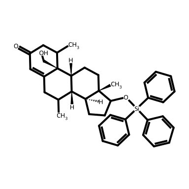 CC1CC2=CC(=O)CC(C)[C@]2(CO)[C@@H]2CC[C@]3(C)C(O[Si](c4ccccc4)(c4ccccc4)c4ccccc4)CC[C@H]3[C@H]12